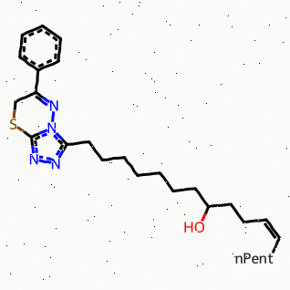 CCCCC/C=C\CCC(O)CCCCCCCc1nnc2n1N=C(c1ccccc1)CS2